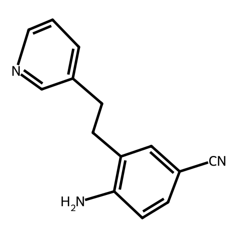 N#Cc1ccc(N)c(CCc2cccnc2)c1